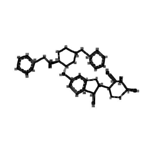 O=C1CCC(N2Cc3cc(O[C@H]4CN(Cc5ccccc5)CC[C@@H]4NCc4cccnc4)ccc3C2=O)C(=O)N1